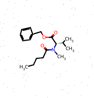 CCCCC(=O)N(C)[C@H](C(=O)OCc1ccccc1)C(C)C